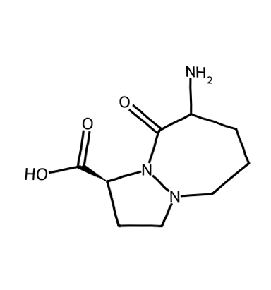 NC1CCCN2CC[C@@H](C(=O)O)N2C1=O